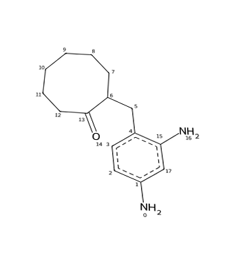 Nc1ccc(CC2CCCCCCC2=O)c(N)c1